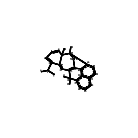 CC(C)C1=CC=CC2(C)C1=CC1=C3NC2(C)c2ccc4cccc(c4c23)C1(C)C